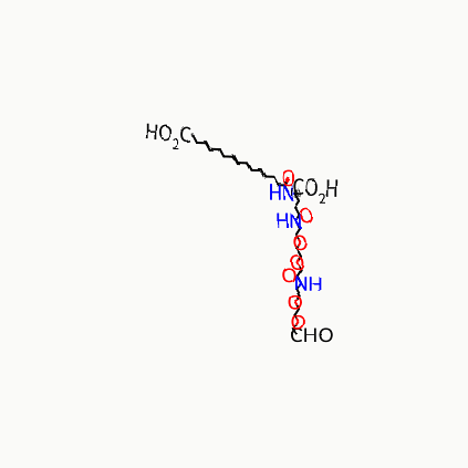 O=[C]COCCOCCNC(=O)COCCOCCNC(=O)CC[C@H](NC(=O)CCCCCCCCCCCCCCC(=O)O)C(=O)O